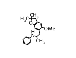 COc1cc2c(cc1CC(C)Nc1ccccc1)OC(C)(C)C2